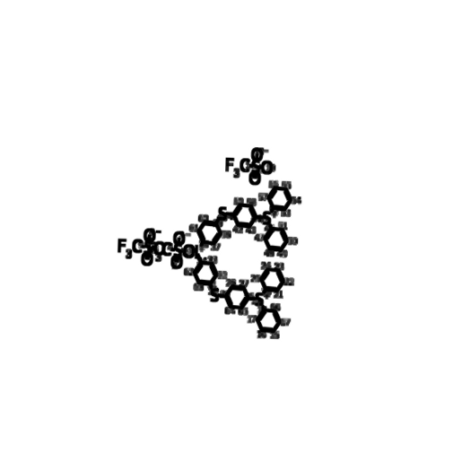 O=S(=O)([O-])C(F)(F)F.O=S(=O)([O-])C(F)(F)F.O=S(=O)([O-])C(F)(F)F.c1ccc([S+](c2ccccc2)c2ccc(Sc3ccc([I+]c4ccc(Sc5ccc([S+](c6ccccc6)c6ccccc6)cc5)cc4)cc3)cc2)cc1